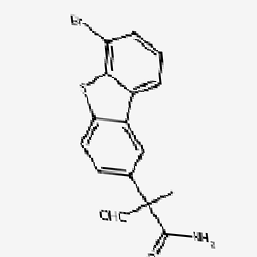 CC(C=O)(C(N)=O)c1ccc2sc3c(Br)cccc3c2c1